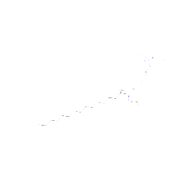 CCCCCCCCCCCCCCC[C@@H](O)[C@H](COP(=O)([O-])OCC[N+](C)(C)C)NC(C)C